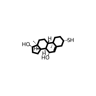 C[C@]12CC[C@H]3[C@@H]([C@@H](O)C=C4C[C@@H](S)CC[C@@]43C)[C@@H]1CC[C@@H]2O